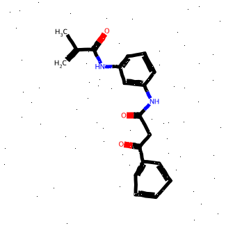 C=C(C)C(=O)Nc1cccc(NC(=O)CC(=O)c2ccccc2)c1